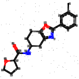 Cc1cccc(-c2nc3c(o2)CCC(NC(=O)C2CCCO2)C3)c1